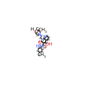 CC1(C)CN(CCn2c(=O)c(C(=O)N[C@H]3CC[C@@H](C)CC3)c(O)c3cccnc32)CCO1